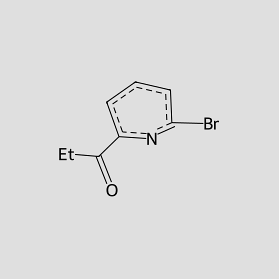 CCC(=O)c1cccc(Br)n1